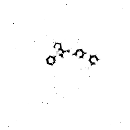 CC(=O)Nc1cc(Oc2ccc(NC(=O)c3c4n(n(-c5ccccc5)c3=O)CCC4)nc2)ccn1